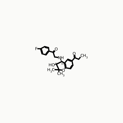 CCC(=O)c1ccc2c(c1)[C@H](NCC(=O)c1ccc(F)cc1)[C@@H](O)C(C)(C)O2